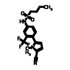 CCCCS(=O)(=O)Nc1ccc(-c2ccc(C#N)n2C)c(C(F)(F)F)c1